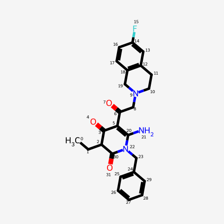 CCC1C(=O)C(C(=O)CN2CCc3cc(F)ccc3C2)=C(N)N(Cc2ccccc2)C1=O